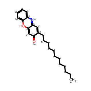 CCCCCCCCCCCCc1cc2nc3ccccc3oc-2cc1=O